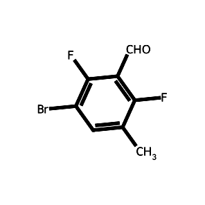 Cc1cc(Br)c(F)c(C=O)c1F